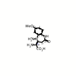 COc1ccc2c(c1)N(N)/C(=C(\N)C(=O)O)CC(=O)N2